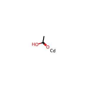 CC(=O)O.[Cd]